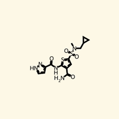 CN(CC1CC1)S(=O)(=O)c1cc(C(N)=O)c(NC(=O)c2cc[nH]n2)s1